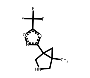 CC12CNCC1(c1noc(C(F)(F)F)n1)C2